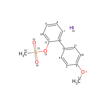 COc1ccc(-c2ccccc2OS(C)(=O)=O)cc1.I